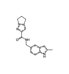 Cc1cc2cc(CNC(=O)c3cc4n(n3)CCC4)ccc2[nH]1